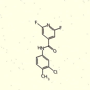 Cc1ccc(NC(=O)c2cc(F)nc(F)c2)cc1Cl